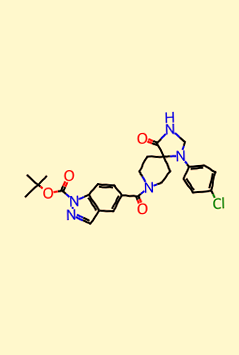 CC(C)(C)OC(=O)n1ncc2cc(C(=O)N3CCC4(CC3)C(=O)NCN4c3ccc(Cl)cc3)ccc21